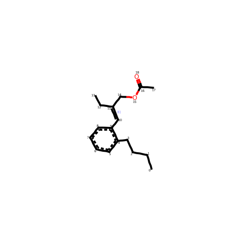 CCCCc1ccccc1/C=C(\CC)COC(C)=O